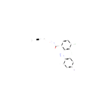 C#CCONC(=O)c1ccc(F)c(F)c1Nc1ccc(I)cc1F